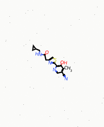 Cc1c(C#N)cnc(-c2nc(CC(=O)NCC3CC3)cs2)c1O